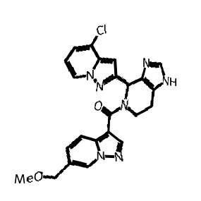 COCc1ccc2c(C(=O)N3CCc4[nH]cnc4C3c3cc4c(Cl)cccn4n3)cnn2c1